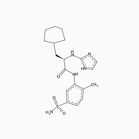 Cc1ccc(S(N)(=O)=O)cc1NC(=O)[C@@H](CC1CCCCC1)Nc1ncc[nH]1